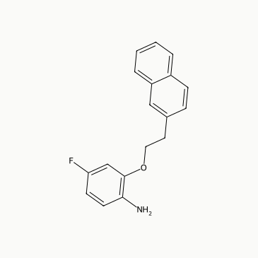 Nc1ccc(F)cc1OCCc1ccc2ccccc2c1